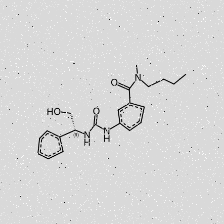 CCCCN(C)C(=O)c1cccc(NC(=O)N[C@@H](CO)c2ccccc2)c1